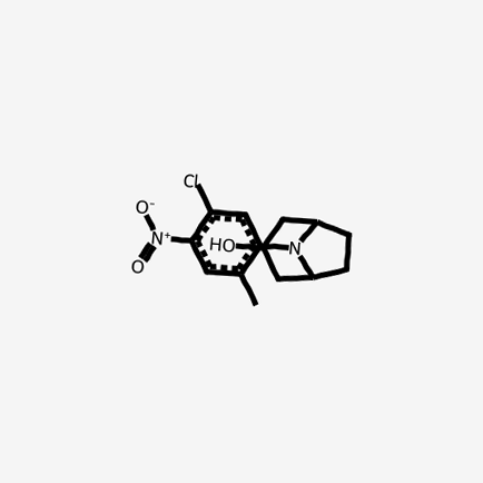 Cc1cc([N+](=O)[O-])c(Cl)cc1N1C2CCC1CC(O)C2